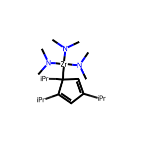 CC(C)C1=C[C](C(C)C)([Zr]([N](C)C)([N](C)C)[N](C)C)C(C(C)C)=C1